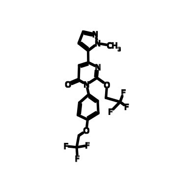 Cn1nccc1-c1cc(=O)n(-c2ccc(OCC(F)(F)F)cc2)c(OCC(F)(F)F)n1